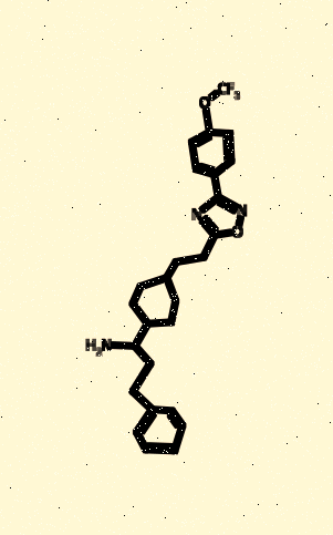 NC(CCc1ccccc1)C1CCC(CCc2nc(-c3ccc(OC(F)(F)F)cc3)no2)CC1